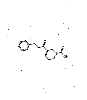 O=C(CCc1ccccc1)C1=CCCN(C(=O)O)C1